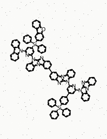 c1ccc([Si](c2ccccc2)(c2ccccc2)c2ccc(-c3cc(-n4c5ccccc5n5c6ccccc6nc45)nc(-n4c5ccccc5n5c6cc(-c7ccc8nc9n(-c%10cc([Si](c%11ccccc%11)(c%11ccccc%11)c%11ccc%12oc%13ccccc%13c%12c%11)cc(-n%11c%12ccccc%12c%12ccccc%12%11)n%10)c%10ccccc%10n9c8c7)ccc6nc45)c3)cc2)cc1